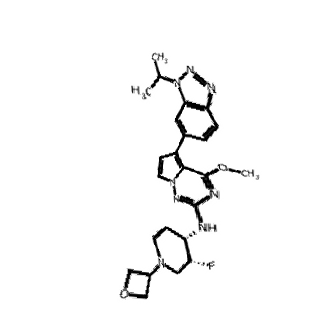 COc1nc(N[C@H]2CCN(C3COC3)C[C@H]2F)nn2ccc(-c3ccc4nnn(C(C)C)c4c3)c12